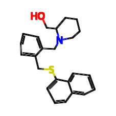 OCC1CCCCN1Cc1ccccc1CSc1cccc2ccccc12